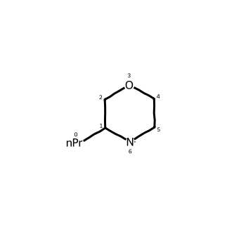 CCCC1COCC[N]1